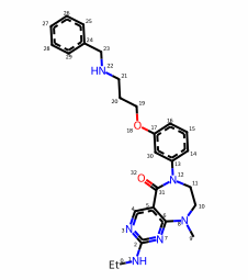 CCNc1ncc2c(n1)N(C)CCN(c1cccc(OCCCNCc3ccccc3)c1)C2=O